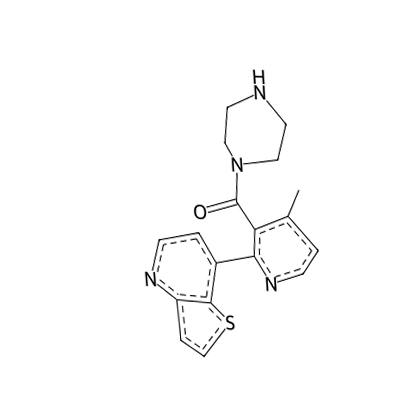 Cc1ccnc(-c2ccnc3ccsc23)c1C(=O)N1CCNCC1